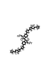 CCCN1C(=O)/C(=C2/C(=O)N(CCC)c3cc(-c4ccc(-c5ccc(/C=C(\C#N)c6cccs6)s5)s4)ccc32)c2ccc(-c3ccc(-c4ccc(/C=C(\C#N)c5cccs5)s4)s3)cc21